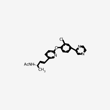 CC(=O)N[C@@H](C)/C=C/c1ccc(Oc2ccc(-c3cnccn3)cc2Cl)nc1